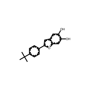 CC(C)(C)c1ccc(-c2cc3cc(O)c(O)cc3o2)cc1